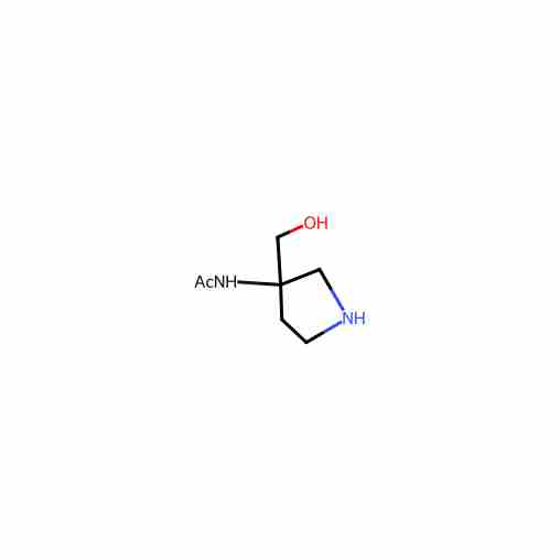 CC(=O)NC1(CO)CCNC1